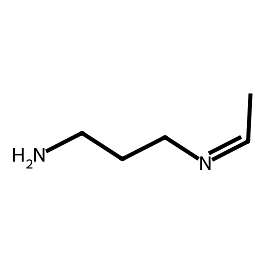 C/C=N\CCCN